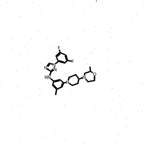 Cc1cc(Nc2ncn(-c3cc(F)cc(F)c3)n2)cc(N2CCC(N3CCOC(C)C3)CC2)c1